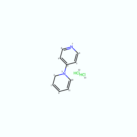 C1=CCN(c2ccncc2)C=C1.Cl.Cl